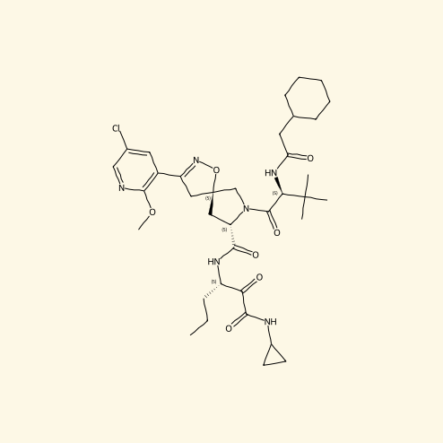 CCC[C@H](NC(=O)[C@@H]1C[C@]2(CC(c3cc(Cl)cnc3OC)=NO2)CN1C(=O)[C@@H](NC(=O)CC1CCCCC1)C(C)(C)C)C(=O)C(=O)NC1CC1